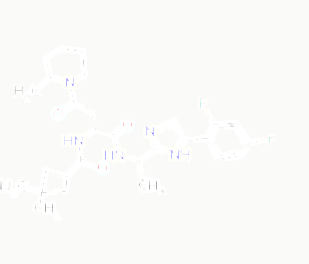 CC1CCCCN1C(=O)CC(NC(=O)C1CC(C)(C)C1)C(=O)N[C@@H](C)c1ncc(-c2ccc(F)cc2F)[nH]1